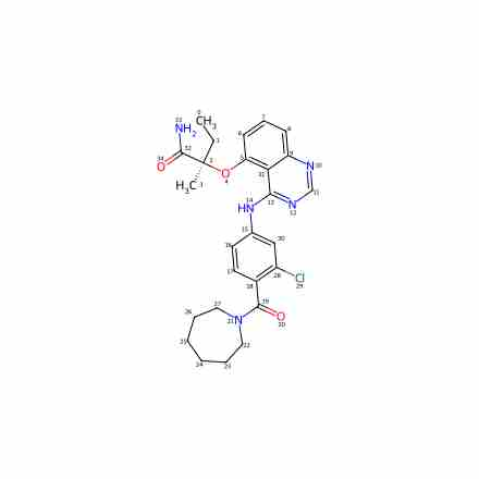 CC[C@@](C)(Oc1cccc2ncnc(Nc3ccc(C(=O)N4CCCCCC4)c(Cl)c3)c12)C(N)=O